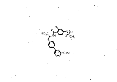 COc1cccc(-c2ccc(C[C@H](NC(=O)c3ccc(NS(C)(=O)=O)cc3Cl)C(=O)O)cc2)c1